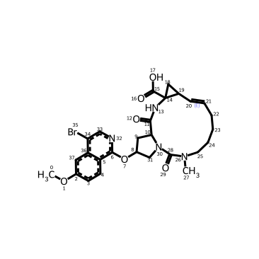 COc1ccc2c(OC3CC4C(=O)NC5(C(=O)O)CC5/C=C/CCCCN(C)C(=O)N4C3)ncc(Br)c2c1